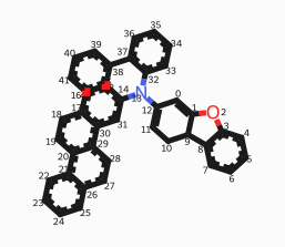 C1=C2Oc3ccccc3C2CC=C1N(c1ccc2ccc3c4ccccc4ccc3c2c1)c1ccccc1-c1ccccc1